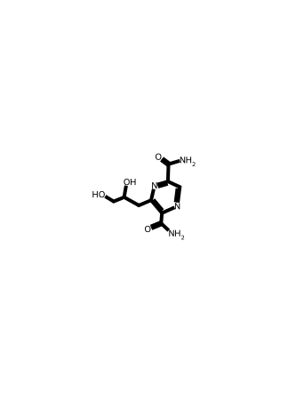 NC(=O)c1cnc(C(N)=O)c(CC(O)CO)n1